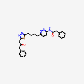 O=C(Cc1ccccc1)Cc1nnc(CCCCc2ccc(NC(=O)Cc3ccccc3)nn2)s1